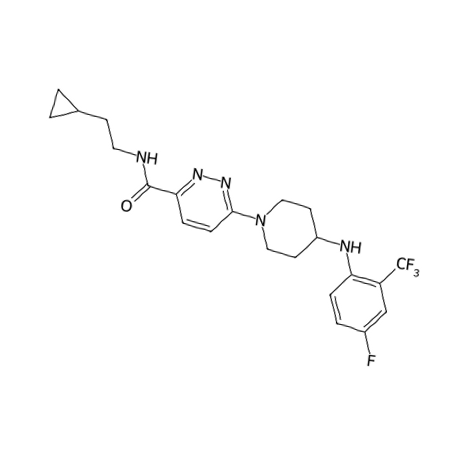 O=C(NCCC1CC1)c1ccc(N2CCC(Nc3ccc(F)cc3C(F)(F)F)CC2)nn1